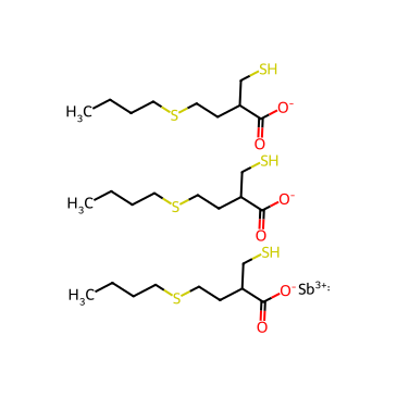 CCCCSCCC(CS)C(=O)[O-].CCCCSCCC(CS)C(=O)[O-].CCCCSCCC(CS)C(=O)[O-].[Sb+3]